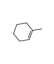 CC1=CC[CH]C[CH]1